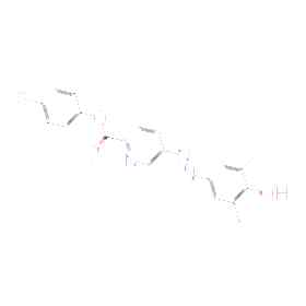 Cc1cc(/N=N/c2ccc(C(=O)Oc3ccc(F)cc3)nc2)cc(C)c1O